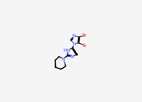 Brc1ncn(-c2cnc(N3CCCCC3)[nH]2)c1Br